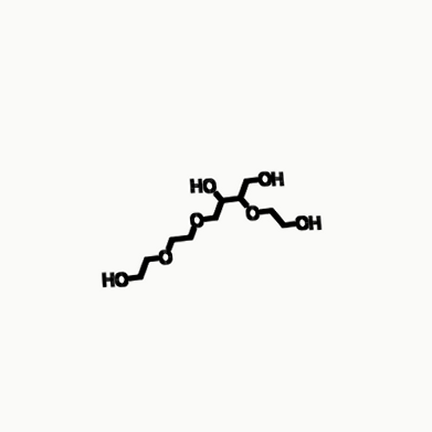 OCCOCCOCC(O)C(CO)OCCO